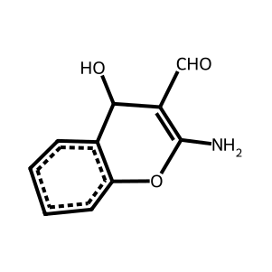 NC1=C(C=O)C(O)c2ccccc2O1